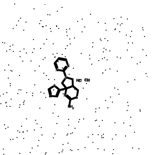 Cl.Cl.NC1=NC2(c3cncs3)CN(c3ncccn3)CC2CS1